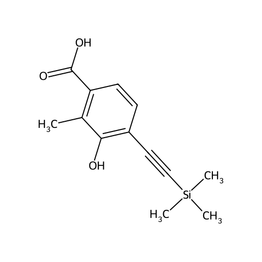 Cc1c(C(=O)O)ccc(C#C[Si](C)(C)C)c1O